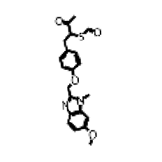 COc1ccc2nc(COc3ccc(CC(SC=O)C(C)=O)cc3)n(C)c2c1